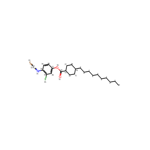 CCCCCCCCCCC1CCC(C(=O)Oc2ccc(N=C=S)c(F)c2)CC1